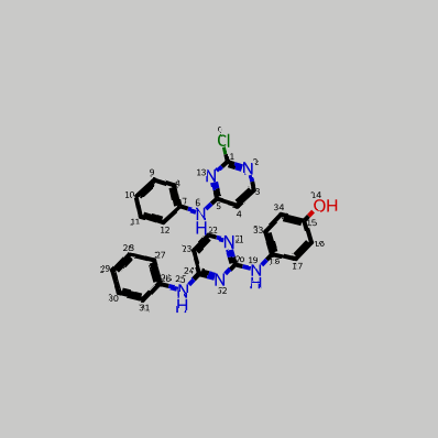 Clc1nccc(Nc2ccccc2)n1.Oc1ccc(Nc2nccc(Nc3ccccc3)n2)cc1